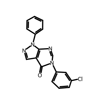 O=c1c2cnn(-c3ccccc3)c2ncn1-c1cccc(Cl)c1